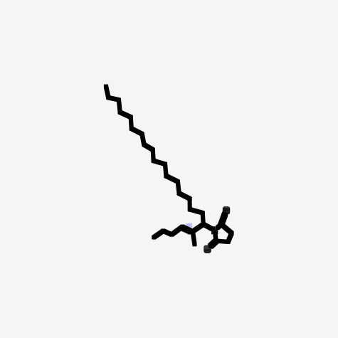 CCC/C=C(\C)C(CCCCCCCCCCCCCCCCC)N1C(=O)CCC1=O